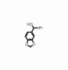 CCCC(O)c1ccc2c(c1)OCO2